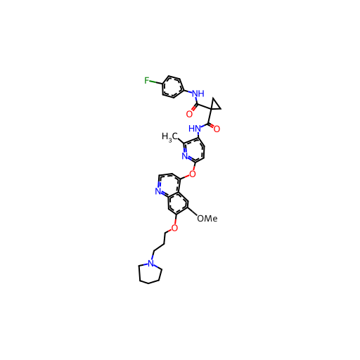 COc1cc2c(Oc3ccc(NC(=O)C4(C(=O)Nc5ccc(F)cc5)CC4)c(C)n3)ccnc2cc1OCCCN1CCCCC1